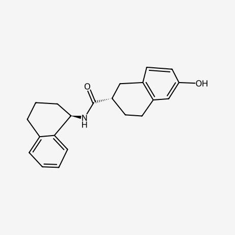 O=C(N[C@@H]1CCCc2ccccc21)[C@H]1CCc2cc(O)ccc2C1